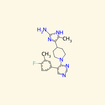 Cc1cc(-c2cncnc2N2CCC(c3nc(N)[nH]c3C)CC2)ccc1F